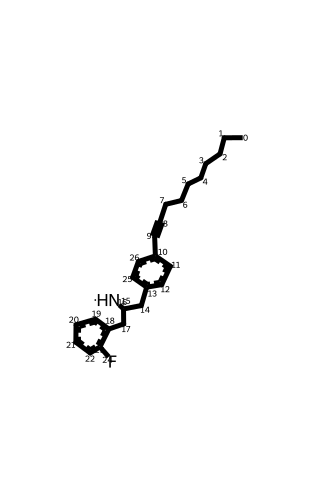 CCCCCCCCC#Cc1ccc(CC([NH])Cc2ccccc2F)cc1